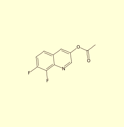 CC(=O)Oc1cnc2c(F)c(F)ccc2c1